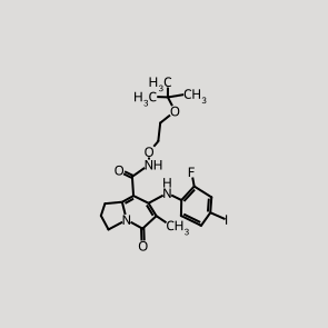 Cc1c(Nc2ccc(I)cc2F)c(C(=O)NOCCOC(C)(C)C)c2n(c1=O)CCC2